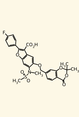 CN(c1cc2oc(-c3ccc(F)cc3)c(C(=O)O)c2cc1OCc1ccc2c(c1)OC(C)(C)OC2=O)S(C)(=O)=O